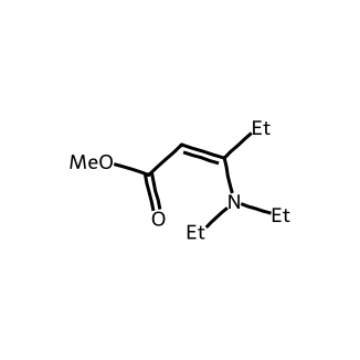 CCC(=CC(=O)OC)N(CC)CC